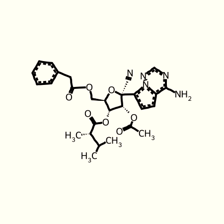 CC(=O)O[C@@H]1[C@H](OC(=O)[C@@H](C)C(C)C)[C@@H](COC(=O)Cc2ccccc2)O[C@@]1(C#N)c1ccc2c(N)ncnn12